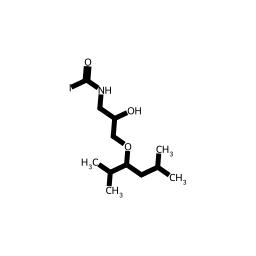 CC(C)CC(OCC(O)CNC(=O)I)C(C)C